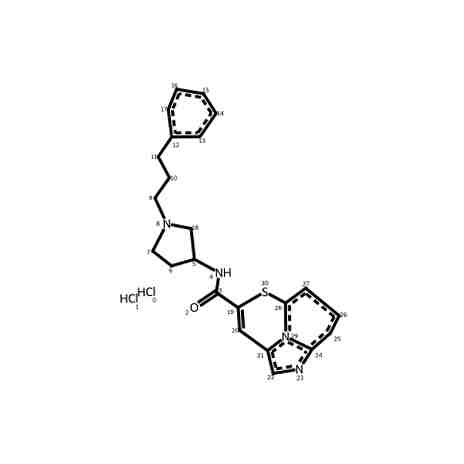 Cl.Cl.O=C(NC1CCN(CCCc2ccccc2)C1)C1=Cc2cnc3cccc(n23)S1